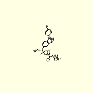 CCCC(c1ccc2c(cnn2C2C=CC(F)=CC2)c1)C(C)(C)CNC(=O)NC(C)(C)C